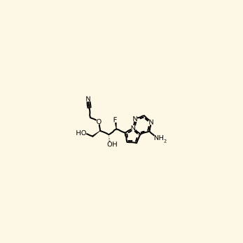 N#CCO[C@H](CO)[C@@H](O)[C@@H](F)c1ccc2c(N)ncnn12